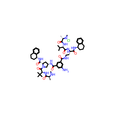 CN[C@@H](C)C(=O)N[C@H](C(=O)N1C[C@@H](NC(=O)c2cc(N)cc(C(=O)NCC[C@H](NC(=O)[C@@H](NC(=O)[C@H](C)N(C)Cl)C(C)C)C(=O)N[C@@H]3CCCc4ccccc43)c2)C[C@H]1C(=O)N[C@@H]1CCCc2ccccc21)C(C)(C)C